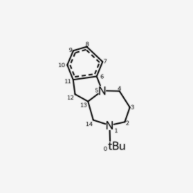 CC(C)(C)N1CCCN2c3ccccc3CC2C1